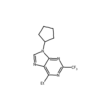 CCc1nc(C(F)(F)F)nc2c1ncn2C1CCCC1